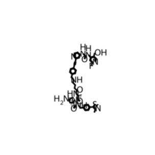 Cc1ncsc1-c1ccc(CNC(=O)[C@@H]2C[C@@H](N)CN2C(=O)[C@H](C)NC(=O)CCCNCc2ccc(C#Cc3cc(NC(=O)Nc4cc(F)ncc4CO)ccn3)cc2)cc1